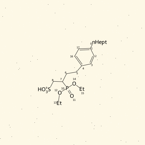 CCCCCCCc1ccc(CCC(CS(=O)(=O)O)P(=O)(OCC)OCC)cc1